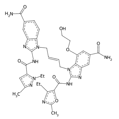 CCc1nc(C)oc1C(=O)Nc1nc2cc(C(N)=O)cc(OCCO)c2n1CC=CCn1c(NC(=O)c2cc(C)nn2CC)nc2cc(C(N)=O)ccc21